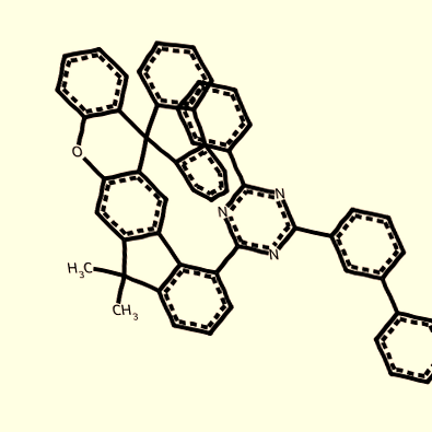 CC1(C)c2cc3c(cc2-c2c(-c4nc(-c5ccccc5)nc(-c5cccc(-c6ccccc6)c5)n4)cccc21)C1(c2ccccc2O3)c2ccccc2-c2ccccc21